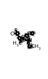 COc1ccc(-c2ccc(F)c(Cl)c2)cc1S(=O)(=O)N(Cc1nncn1Cc1cccc(C)n1)c1ccc(Oc2ccccc2)cc1